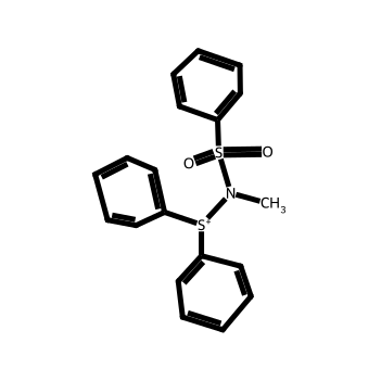 CN([S+](c1ccccc1)c1ccccc1)S(=O)(=O)c1ccccc1